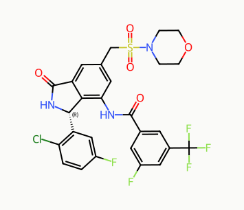 O=C(Nc1cc(CS(=O)(=O)N2CCOCC2)cc2c1[C@H](c1cc(F)ccc1Cl)NC2=O)c1cc(F)cc(C(F)(F)F)c1